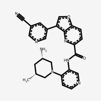 C[C@@H]1C[C@H](N)CN(c2ccncc2NC(=O)c2ccc3occ(-c4cncc(C#N)c4)c3n2)C1